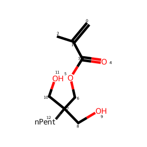 C=C(C)C(=O)OCC(CO)(CO)CCCCC